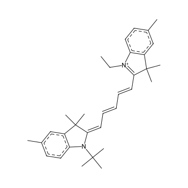 CC[N+]1=C(/C=C/C=C/C=C2/N(C(C)(C)C)c3ccc(C)cc3C2(C)C)C(C)(C)c2cc(C)ccc21